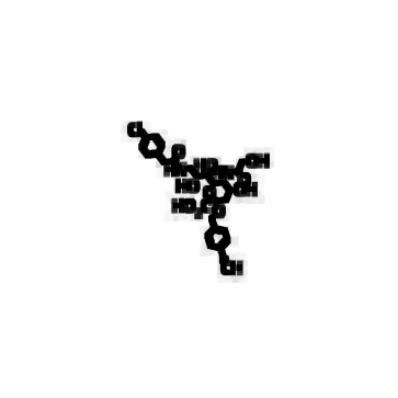 C#Cc1ccc(CO[C@]2(C(=O)O)C[C@H](O)[C@@H](NC(=O)CO)[C@H]([C@H](O)[C@H](O)CNC(=O)Cc3ccc(Cl)cc3)O2)cc1